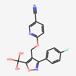 N#Cc1ccc(OCc2c(-c3ccc(F)cc3)noc2C(O)(O)O)nc1